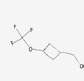 OCC1CC(OC(F)(F)F)C1